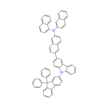 c1ccc(C2(c3ccccc3)c3ccccc3-c3ccc(-n4c5ccccc5c5cc(-c6ccc7cc(N(c8ccc9ccccc9c8)c8cccc9ccccc89)ccc7c6)ccc54)cc32)cc1